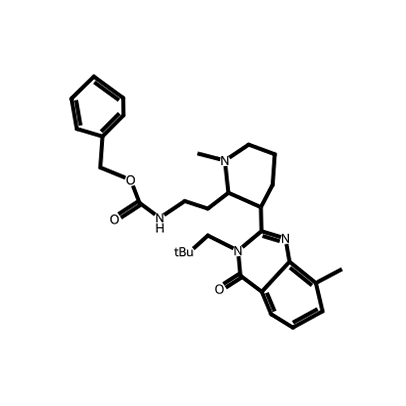 Cc1cccc2c(=O)n(CC(C)(C)C)c(C3CCCN(C)C3CCNC(=O)OCc3ccccc3)nc12